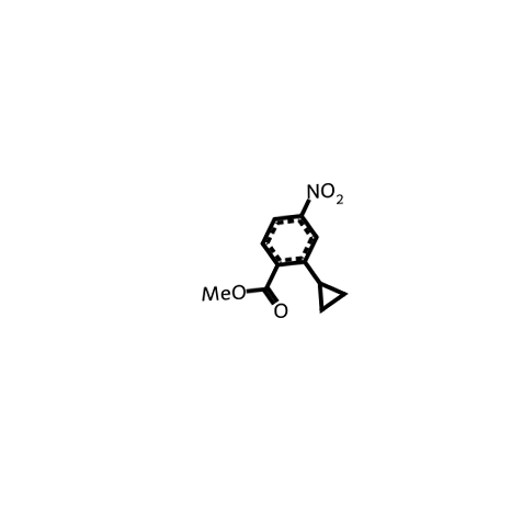 COC(=O)c1ccc([N+](=O)[O-])cc1C1CC1